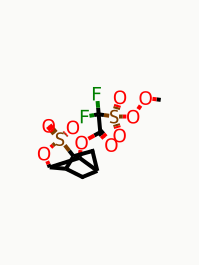 COOS(=O)(=O)C(F)(F)C(=O)OC1C2CC3C1OS(=O)(=O)C3C2